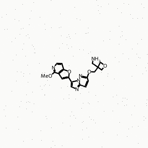 COc1nccc2oc(-c3cnc4ccc(OCC5(CN)COC5)nn34)cc12